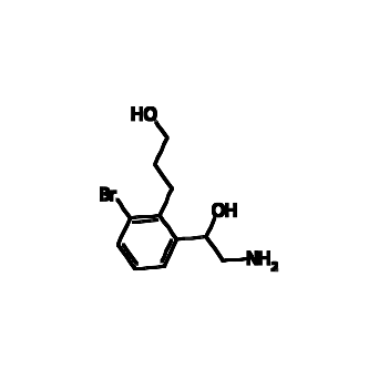 NCC(O)c1cccc(Br)c1CCCO